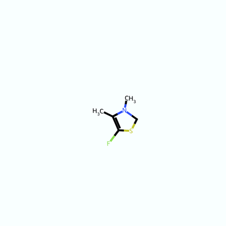 CC1=C(F)SCN1C